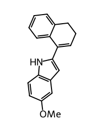 COc1ccc2[nH]c(C3=CCCc4ccccc43)cc2c1